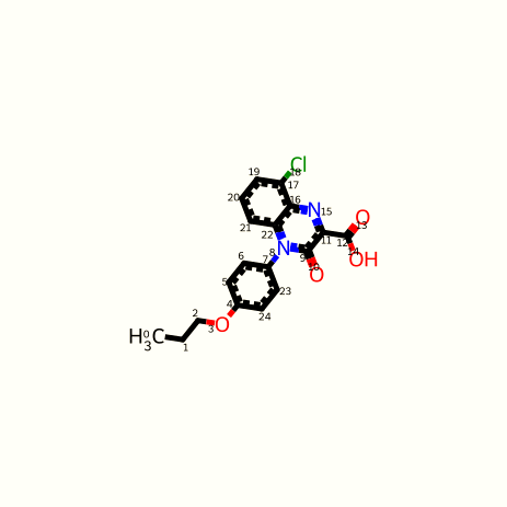 CCCOc1ccc(-n2c(=O)c(C(=O)O)nc3c(Cl)cccc32)cc1